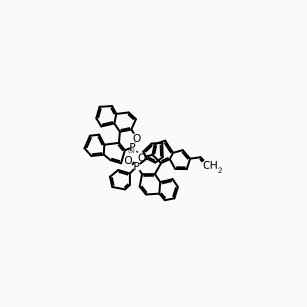 C=Cc1ccc2c(-c3c(P(=O)(c4ccccc4)c4ccccc4)ccc4ccccc34)c(O[P@@]3Oc4ccc5ccccc5c4-c4c3ccc3ccccc43)ccc2c1